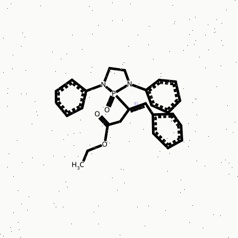 CCOC(=O)C/C(=C\c1ccccc1)P1(=O)N(c2ccccc2)CCN1c1ccccc1